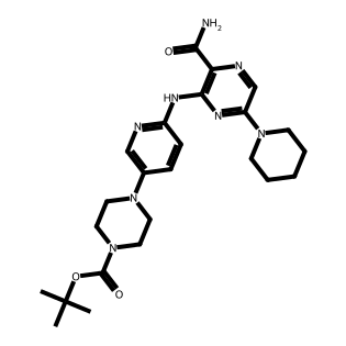 CC(C)(C)OC(=O)N1CCN(c2ccc(Nc3nc(N4CCCCC4)cnc3C(N)=O)nc2)CC1